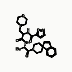 CC[C@H](C)[C@H](NC(=O)C(CN1CCOCC1)NC(=O)c1ccno1)C(=O)N1CCC2(C=Cc3ccccc32)CC1